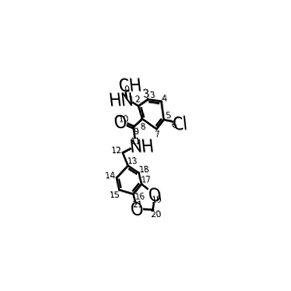 CNc1ccc(Cl)cc1C(=O)NCc1ccc2c(c1)OCO2